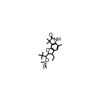 CCC1c2cc(C)c3c(c2OC1C(O[SiH](C)C)C(C)(C)C)C(C)(C)C(=O)N3